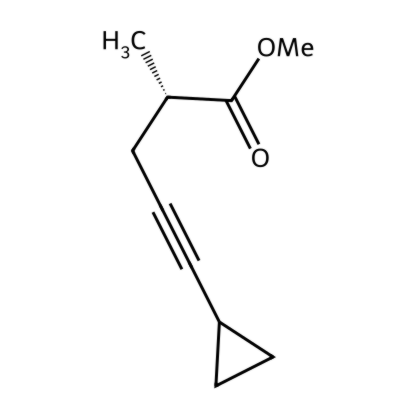 COC(=O)[C@@H](C)CC#CC1CC1